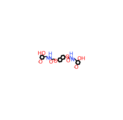 COc1ccc(O)c(/C=N/NC(=O)COc2ccc3cc(OC(=O)N/N=C/c4cc(OC)ccc4O)ccc3c2)c1